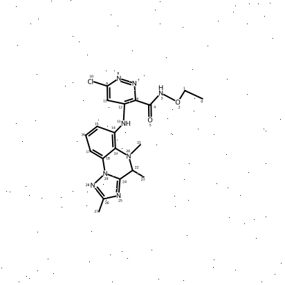 CCONC(=O)c1nnc(Cl)cc1Nc1cccc2c1N(C)C(C)c1nc(C)nn1-2